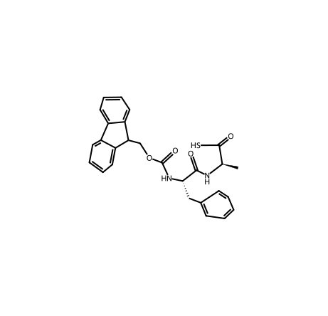 C[C@@H](NC(=O)[C@H](Cc1ccccc1)NC(=O)OCC1c2ccccc2-c2ccccc21)C(=O)S